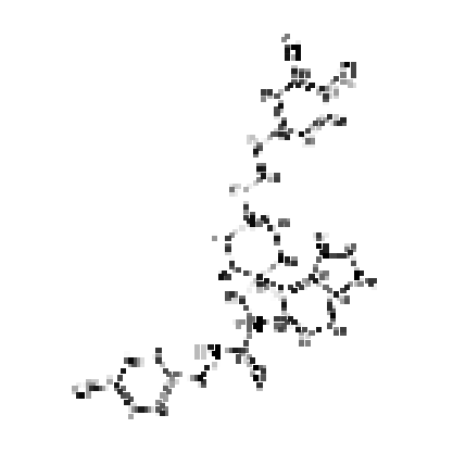 O=C(NCc1ccc(Cl)cc1)N1CC2(CCN(CC=Cc3ccc(Cl)c(Cl)c3)CC2)c2c1ccc1scnc21